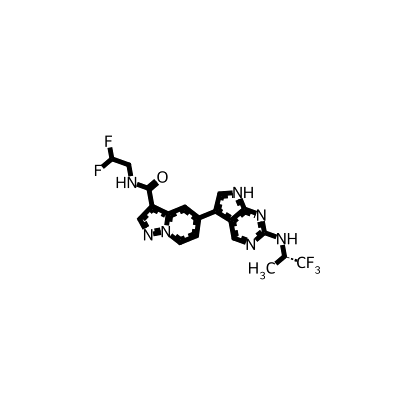 C[C@H](Nc1ncc2c(-c3ccn4ncc(C(=O)NCC(F)F)c4c3)c[nH]c2n1)C(F)(F)F